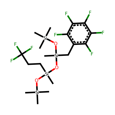 C[Si](C)(C)O[Si](C)(CCC(F)(F)F)O[Si](C)(Cc1c(F)c(F)c(F)c(F)c1F)O[Si](C)(C)C